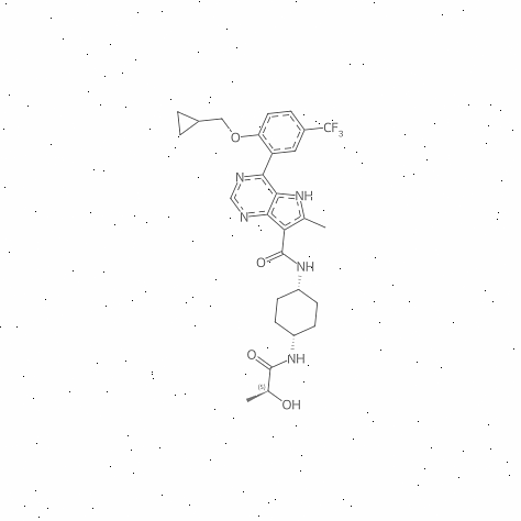 Cc1[nH]c2c(-c3cc(C(F)(F)F)ccc3OCC3CC3)ncnc2c1C(=O)N[C@H]1CC[C@@H](NC(=O)[C@H](C)O)CC1